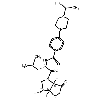 CC(C)C[C@H](NC(=O)c1ccc(N2CCN(C(C)C)CC2)cc1)C(=O)N1C[C@H](O)[C@H]2OCC(=O)[C@H]21